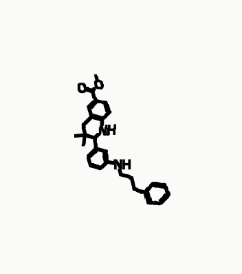 COC(=O)c1ccc2c(c1)CC(C)(C)C(c1cccc(NCCCc3ccccc3)c1)N2